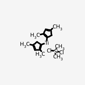 CC1=CC(C)=[C]([Ti][C]2=C(C)C=C(C)C2)C1.C[Si](C)(Cl)Cl